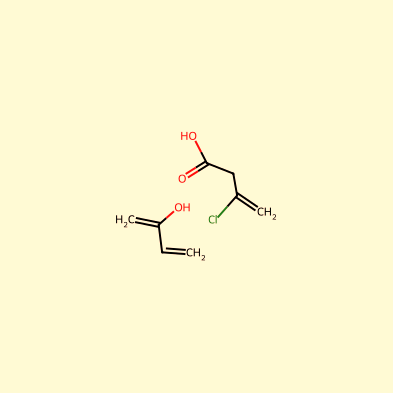 C=C(Cl)CC(=O)O.C=CC(=C)O